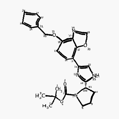 CC(C)(C)OC(=O)N1CCC[C@H]1c1nc(-c2ccc(OCc3ccccc3)c3ncoc23)c[nH]1